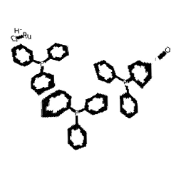 [C]=O.[Cl][Ru].[H-].c1ccc(P(c2ccccc2)c2ccccc2)cc1.c1ccc(P(c2ccccc2)c2ccccc2)cc1.c1ccc(P(c2ccccc2)c2ccccc2)cc1